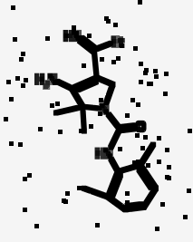 CCC(=N)C1=C(N)C(C)(C)N(C(=O)Nc2c(C)cccc2C)C1